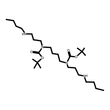 CCCCNCCCN(CCCCN(CCCNCCCC)C(=O)OC(C)(C)C)C(=O)OC(C)(C)C